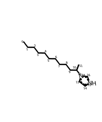 CCCCCCCCCCC(C)[n+]1cc[nH]c1